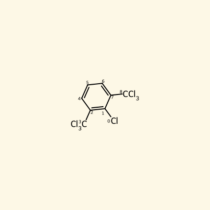 Clc1c(C(Cl)(Cl)Cl)cccc1C(Cl)(Cl)Cl